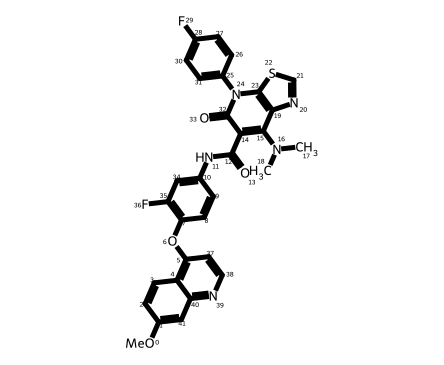 COc1ccc2c(Oc3ccc(NC(=O)c4c(N(C)C)c5ncsc5n(-c5ccc(F)cc5)c4=O)cc3F)ccnc2c1